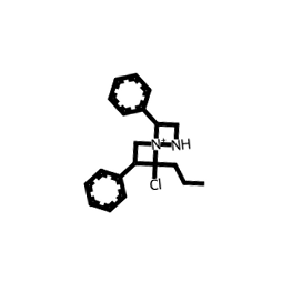 CCCC1(Cl)C(c2ccccc2)C[N+]12NCC2c1ccccc1